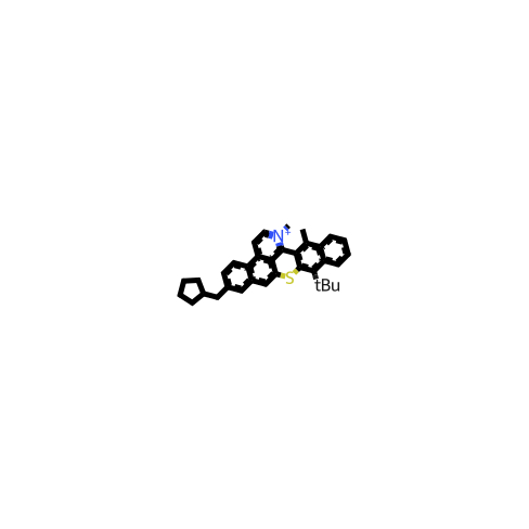 Cc1c2c(c(C(C)(C)C)c3ccccc13)Sc1cc3cc(CC4CCCC4)ccc3c3cc[n+](C)c-2c13